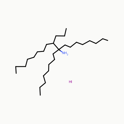 CCCCCCCCC(CCC)C(N)(CCCCCCCC)CCCCCCCC.I